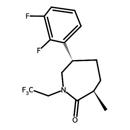 C[C@@H]1CC[C@@H](c2cccc(F)c2F)CN(CC(F)(F)F)C1=O